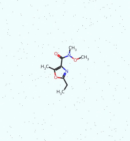 CCc1nc(C(=O)N(C)OC)c(C)o1